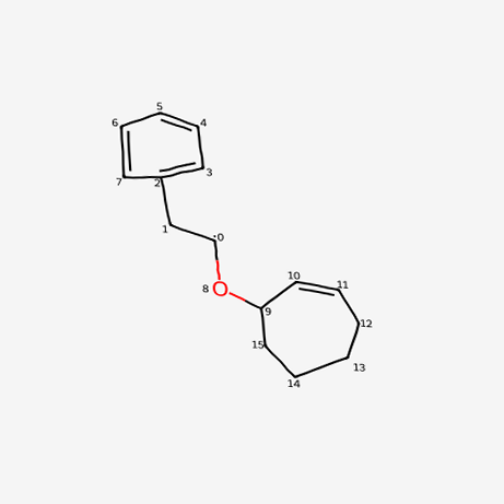 [CH](Cc1ccccc1)OC1C=CCCCC1